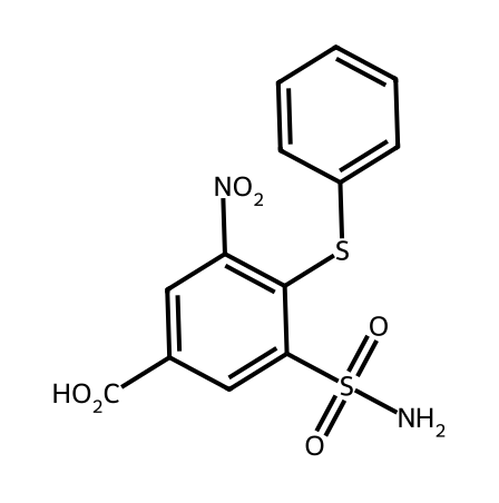 NS(=O)(=O)c1cc(C(=O)O)cc([N+](=O)[O-])c1Sc1ccccc1